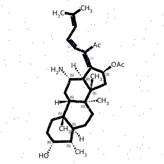 CC(=O)O[C@H]1C[C@@]2(C)[C@H](/C1=C(\C=C/C=C(C)C)C(C)=O)[C@@H](N)C[C@H]1[C@@]3(C)CC[C@@H](O)[C@@H](C)[C@@H]3CC[C@@]12C